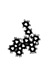 c1ccc(-c2ccc(N(c3ccccc3)c3cccc4oc5c6ccccc6c(-c6ccc7c(c6)-c6ccccc6C76c7ccccc7-c7ccccc76)cc5c34)cc2)cc1